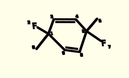 CC1(F)C=CC(C)(F)C=C1